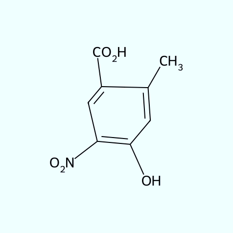 Cc1cc(O)c([N+](=O)[O-])cc1C(=O)O